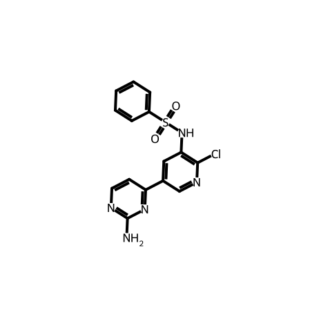 Nc1nccc(-c2cnc(Cl)c(NS(=O)(=O)c3ccccc3)c2)n1